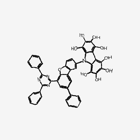 Oc1c(O)c(O)c2c(c1O)c1c(O)c(O)c(O)c(O)c1n2-c1ccc2oc3c(-c4nc(-c5ccccc5)nc(-c5ccccc5)n4)cc(-c4ccccc4)cc3c2c1